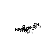 Cc1cccc(OCCOc2ccc(C(=O)n3c(C)c(CC(=O)O)c4ccccc43)c(C)c2)n1